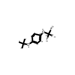 CC(C)(C)Oc1ccc(OC(F)(F)F)cc1